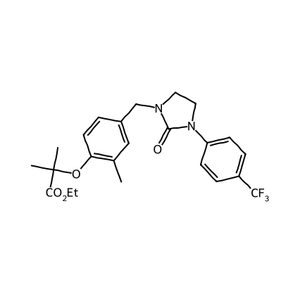 CCOC(=O)C(C)(C)Oc1ccc(CN2CCN(c3ccc(C(F)(F)F)cc3)C2=O)cc1C